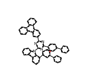 c1ccc(-c2ccc(-c3nc(-c4ccc5c6ccccc6c6ccccc6c5c4)nc(-n4c5ccccc5c5cccc(-c6cccc(-c7ccccc7)c6)c54)n3)cc2)cc1